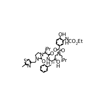 CCOC(=O)Nc1cc(S(=O)(=O)N(CC(C)C)C[C@@H](O)[C@H](Cc2ccccc2)NC(=O)[C@H](C(C)C)N2CCN(Cc3csc(C)n3)C2=O)ccc1O